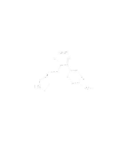 COc1ccc(-c2ccccc2CO[C@H]2CCNC2)cn1